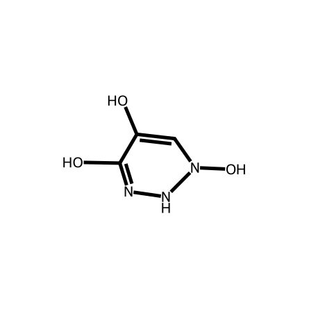 OC1=CN(O)NN=C1O